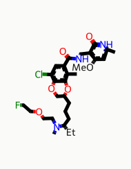 CCC(CCCC1COc2c(Cl)cc(C(=O)NCc3c(OC)cc(C)[nH]c3=O)c(C)c2O1)N(C)CCOCCF